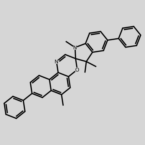 Cc1cc2c(c3ccc(-c4ccccc4)cc13)N=CC1(O2)N(C)c2ccc(-c3ccccc3)cc2C1(C)C